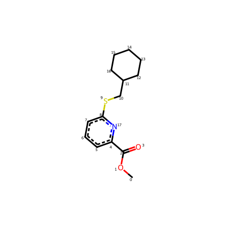 COC(=O)c1cccc(SCC2CCCCC2)n1